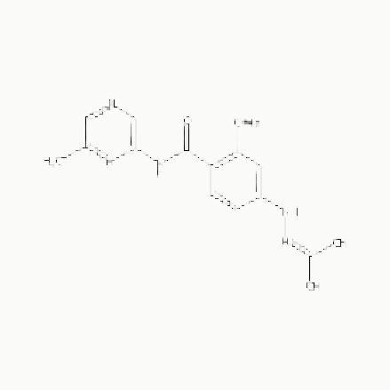 COc1cc(NN=C(C#N)C#N)ccc1C(=O)Nc1cncc(C)n1